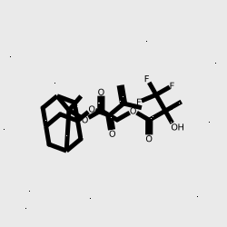 C=C(C)C(=O)OC12CC3CC(C1)C(C)(OC(=O)COC(=O)C(C)(O)C(F)(F)F)C(C3)C2